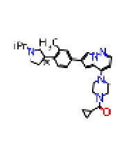 Cc1cc(-c2cc3c(N4CCN(C(=O)C5CC5)CC4)ccnn3c2)ccc1[C@H]1CCN(C(C)C)C1